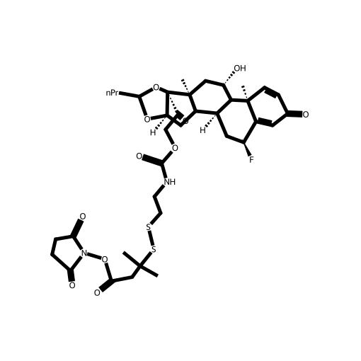 CCCC1O[C@@H]2CC3[C@@H]4C[C@H](F)C5=CC(=O)C=C[C@]5(C)C4[C@@H](O)C[C@]3(C)[C@]2(C(=O)COC(=O)NCCSSC(C)(C)CC(=O)ON2C(=O)CCC2=O)O1